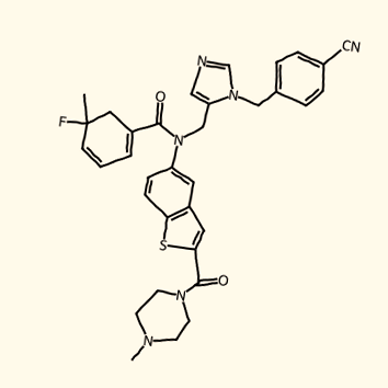 CN1CCN(C(=O)c2cc3cc(N(Cc4cncn4Cc4ccc(C#N)cc4)C(=O)C4=CC=CC(C)(F)C4)ccc3s2)CC1